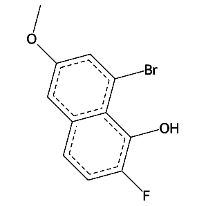 COc1cc(Br)c2c(O)c(F)ccc2c1